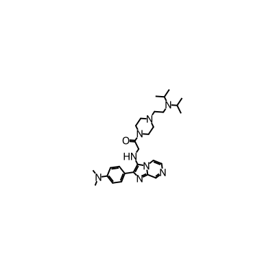 CC(C)N(CCN1CCN(C(=O)CNc2c(-c3ccc(N(C)C)cc3)nc3cnccn23)CC1)C(C)C